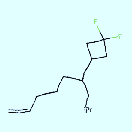 C=CCCCC(CC(C)C)C1CC(F)(F)C1